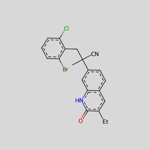 CCc1cc2ccc(C(C)(C#N)Cc3c(Cl)cccc3Br)cc2[nH]c1=O